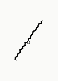 [CH2]CCCCCCCCCCOCCCCCCCCC[CH2]